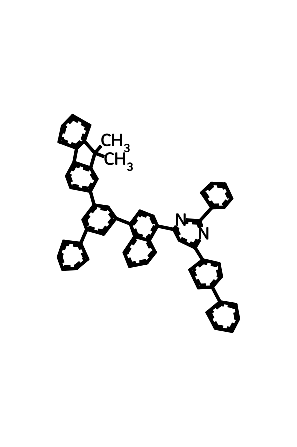 CC1(C)c2ccccc2-c2ccc(-c3cc(-c4ccccc4)cc(-c4ccc(-c5cc(-c6ccc(-c7ccccc7)cc6)nc(-c6ccccc6)n5)c5ccccc45)c3)cc21